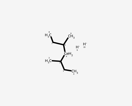 CC[CH](C)[GeH2][CH](C)CC.[H-].[H-]